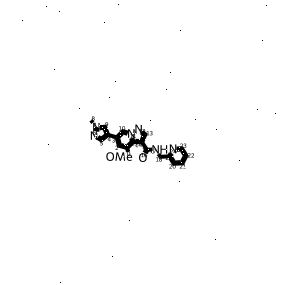 COc1cc(-c2cnn(C)c2)cn2ncc(C(=O)NCc3ccccn3)c12